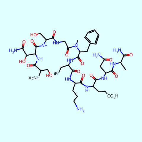 CC(=O)NC(CO)C(=O)NC(C(=O)NC(CO)C(=O)NCC(=O)N(C)C(Cc1ccccc1)C(=O)NC(CC(C)C)C(=O)NC(CCCN)C(=O)NC(CCC(=O)O)C(=O)NC(CC(N)=O)C(=O)NC(C)C(N)=O)C(O)C(N)=O